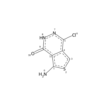 Nc1scc2c(Cl)n[nH]c(=O)c12